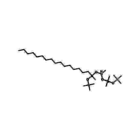 CCCCCCCCCCCCCCCC[Si](C)(O[SiH](C)O[Si](C)(C)O[Si](C)(C)C)O[Si](C)(C)C